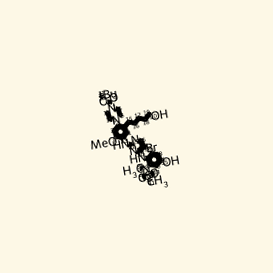 COc1cc(N2CCN(C(=O)OC(C)(C)C)CC2)c(CCCCCO)cc1Nc1ncc(Br)c(Nc2ccc(O)cc2N(C)S(C)(=O)=O)n1